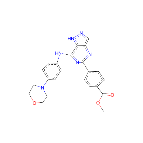 COC(=O)c1ccc(-c2nc(Nc3ccc(N4CCOCC4)cc3)c3[nH]ncc3n2)cc1